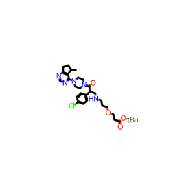 CC1CCc2ncnc(N3CCN(C(=O)C(CNCCCOCCC(=O)OC(C)(C)C)c4ccc(Cl)cc4)CC3)c21